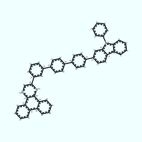 c1ccc(-n2c3ccccc3c3ccc(-c4ccc(-c5ccc(-c6cccc(-c7cnc8c9ccccc9c9ccccc9c8n7)c6)cc5)cc4)cc32)cc1